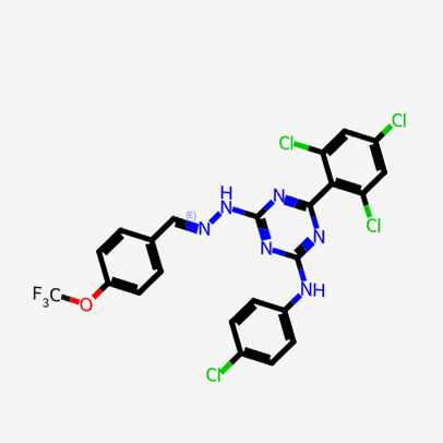 FC(F)(F)Oc1ccc(/C=N/Nc2nc(Nc3ccc(Cl)cc3)nc(-c3c(Cl)cc(Cl)cc3Cl)n2)cc1